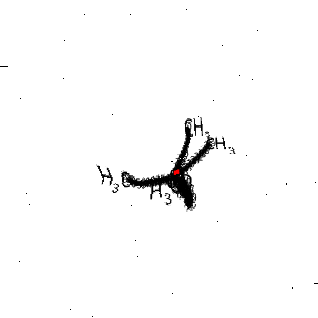 CCCCCCCCCCCCCCCCCCOCC(OCCCCCCCCCCCCCCCCCC)(OCCCCCCCCCCCCCCCCCC)C(C)OC1=CC=C2C(=Cc3ccccc32)C1=O